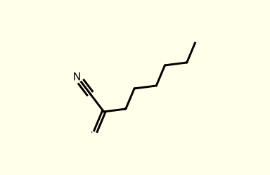 [CH]=C(C#N)CCCCCC